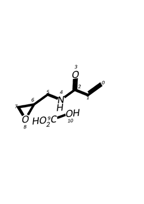 C=CC(=O)NCC1CO1.O=C(O)O